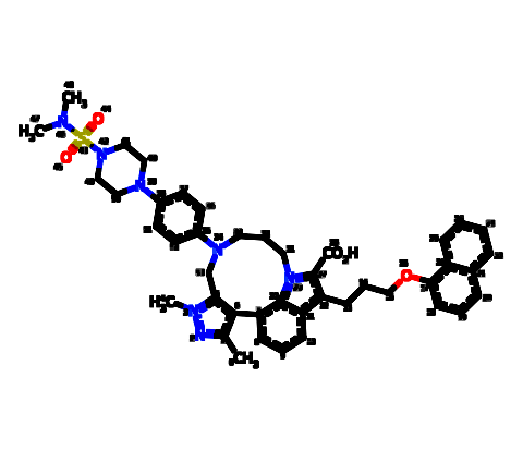 Cc1nn(C)c2c1-c1cccc3c(CCCOc4cccc5ccccc45)c(C(=O)O)n(c13)CCCN(c1ccc(N3CCN(S(=O)(=O)N(C)C)CC3)cc1)C2